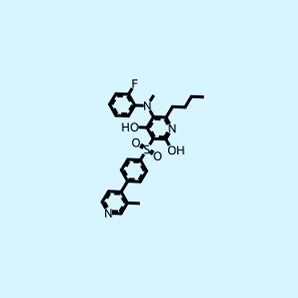 CCCCc1nc(O)c(S(=O)(=O)c2ccc(-c3ccncc3C)cc2)c(O)c1N(C)c1ccccc1F